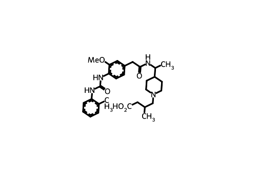 COc1cc(CC(=O)NC(C)C2CCN(CC(C)CC(=O)O)CC2)ccc1NC(=O)Nc1ccccc1C